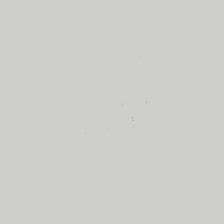 NC1=NC2(CO1)c1cc(-c3cnccn3)ccc1Oc1c(F)cc(C3=CCOCC3)cc12